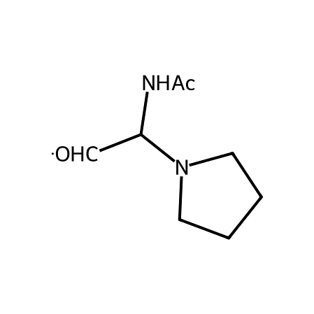 CC(=O)NC([C]=O)N1CCCC1